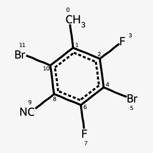 Cc1c(F)c(Br)c(F)c(C#N)c1Br